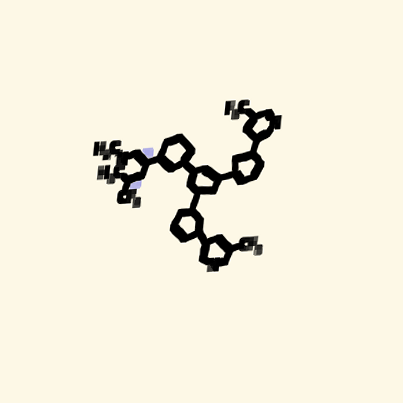 C=N/C=C(\C=C(/C)C(F)(F)F)c1cccc(-c2cc(-c3cccc(-c4cncc(C(F)(F)F)c4)c3)cc(-c3cccc(-c4cncc(C(F)(F)F)c4)c3)c2)c1